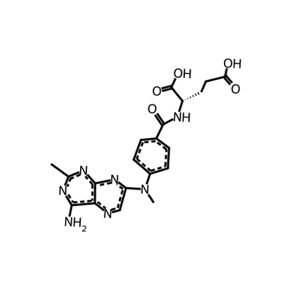 Cc1nc(N)c2ncc(N(C)c3ccc(C(=O)N[C@@H](CCC(=O)O)C(=O)O)cc3)nc2n1